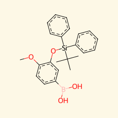 COc1ccc(B(O)O)cc1O[Si](c1ccccc1)(c1ccccc1)C(C)(C)C